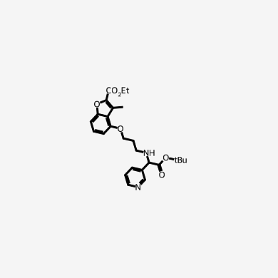 CCOC(=O)c1oc2cccc(OCCCNC(C(=O)OC(C)(C)C)c3cccnc3)c2c1C